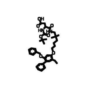 CCc1cc(-c2ccccc2)c(OCc2ccccc2)cc1OCCCCC(C)(C)CNC(=O)C(CC(=O)O)NC(=O)OC(C)(C)C